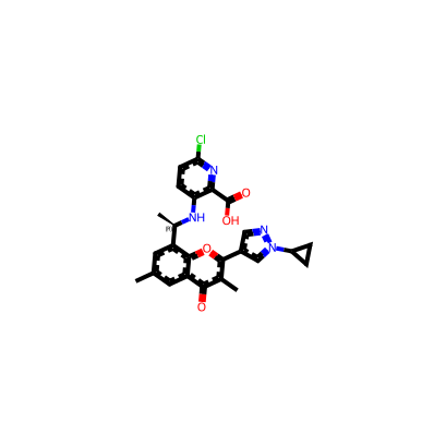 Cc1cc([C@@H](C)Nc2ccc(Cl)nc2C(=O)O)c2oc(-c3cnn(C4CC4)c3)c(C)c(=O)c2c1